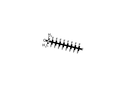 C[N+](C)([O-])C(F)(F)C(F)(F)C(F)(F)C(F)(F)C(F)(F)C(F)(F)C(F)(F)C(F)(F)F